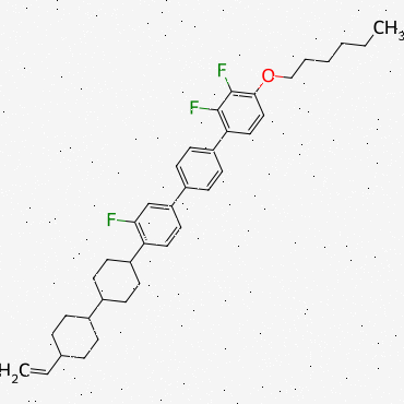 C=CC1CCC(C2CCC(c3ccc(-c4ccc(-c5ccc(OCCCCCC)c(F)c5F)cc4)cc3F)CC2)CC1